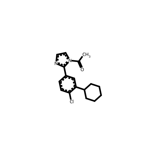 CC(=O)n1ccnc1-c1ccc(Cl)c(C2CCCCC2)c1